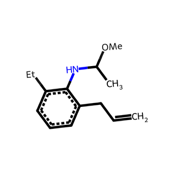 C=CCc1cccc(CC)c1NC(C)OC